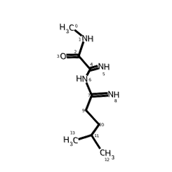 CNC(=O)C(=N)NC(=N)CCC(C)C